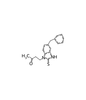 CC(=O)CCn1c(=S)[nH]c2cc(Cc3ccccc3)ccc21